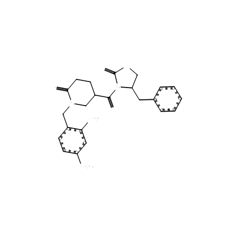 COc1ccc(CN2CC(C(=O)N3C(=O)OCC3Cc3ccccc3)CCC2=O)c(OC)c1